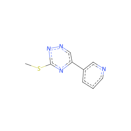 CSc1nncc(-c2cccnc2)n1